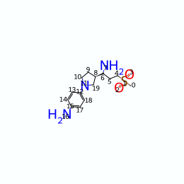 CS(=O)(=O)CCC(N)[C@@H]1CCN(c2ccc(N)cc2)C1